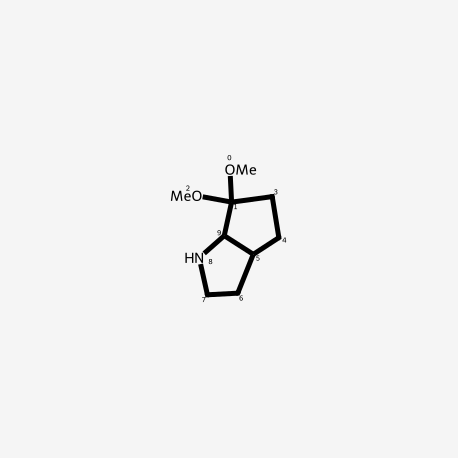 COC1(OC)CCC2CCNC21